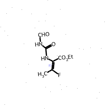 CCOC(=O)/C(NC(=O)NC=O)=C(/C)F